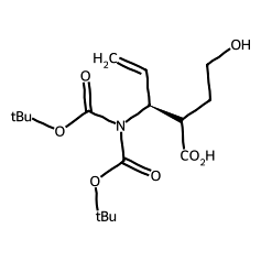 C=C[C@@H](C(CCO)C(=O)O)N(C(=O)OC(C)(C)C)C(=O)OC(C)(C)C